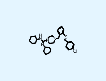 Clc1ccc(CSc2ccccc2CN2CCN(/C(=N\C3CCCCC3)NC3CCCCC3)CC2)cc1